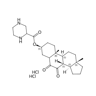 C[C@@]12CCC[C@H]1[C@@H]1C(=O)C(=O)C3C[C@@H](OC(=O)C4CNCCN4)CC[C@]3(C)[C@H]1CC2.Cl.Cl